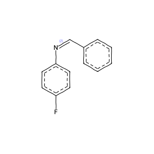 Fc1ccc(/N=C\c2ccccc2)cc1